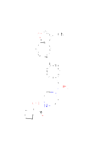 N#Cc1coc2ccc(-c3ccc(C(=O)N4CCN(C(=O)C5(O)CCC5)CC4)cc3)cc12